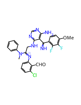 COc1ccc(C(=N)c2c(N)ncnc2NC/C(=N/c2cccc(Cl)c2C=O)N(C)c2ccccc2)c(F)c1F